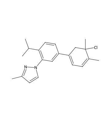 CC1=CC=C(c2ccc(C(C)C)c(-n3ccc(C)n3)c2)CC1(C)Cl